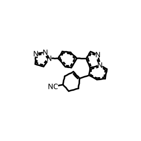 N#CC1CC=C(c2cccn3ncc(-c4ccc(-n5ccnn5)cc4)c23)CC1